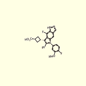 COc1cc(-n2c(C(C)C)c([C@H]3C[C@H](C(=O)O)C3)c3c(F)c4[nH]ncc4cc32)ccc1F